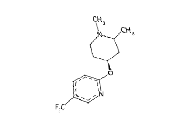 CC1C[C@@H](Oc2ccc(C(F)(F)F)cn2)CCN1C